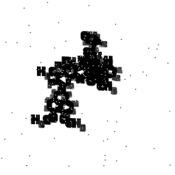 COc1ccc(CN(Cc2ccc(OC)cc2)c2cc(-c3nc4c5c(nc(OCC6(CO)CC6)nc5c3F)N3C[C@H]5CC[C@@H]([C@H]3[C@H](C)O4)N5C(=O)OC(C)(C)C)c(C(F)(F)F)c(C)c2F)cc1